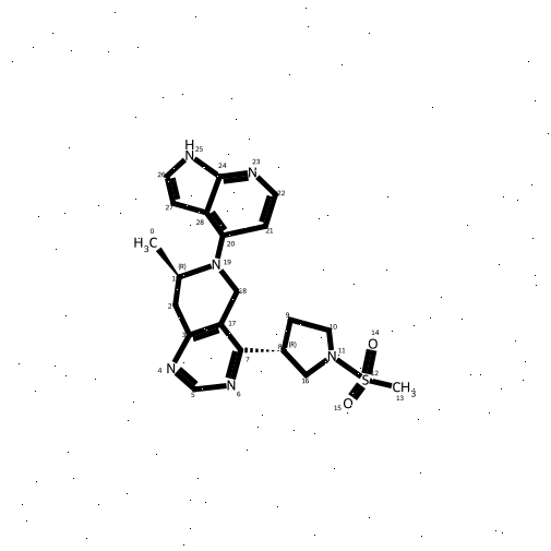 C[C@@H]1Cc2ncnc([C@@H]3CCN(S(C)(=O)=O)C3)c2CN1c1ccnc2[nH]ccc12